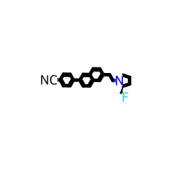 N#Cc1ccc(-c2ccc3cc(CCN4CCC[C@H]4CF)ccc3c2)cc1